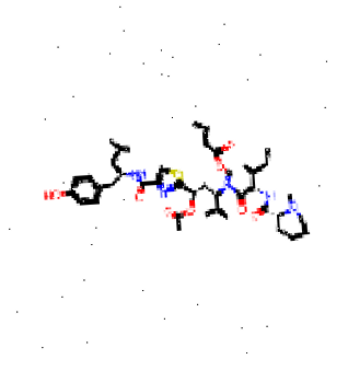 CCCC(=O)OCN(C(=O)[C@@H](NC(=O)[C@H]1CCCCN1C)C(C)CC)[C@H](C[C@@H](OC(C)=O)c1nc(C(=O)N[C@@H](Cc2ccc(O)cc2)CC(C)C)cs1)C(C)C